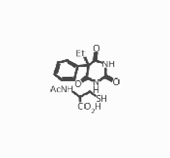 CC(=O)NC(CS)C(=O)O.CCC1(c2ccccc2)C(=O)NC(=O)NC1=O